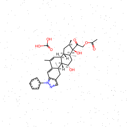 CC(=O)OCC(=O)[C@@]1(O)[C@H](C)C[C@H]2[C@@H]3C=C(C)C4=Cc5c(cnn5-c5ccccc5)C[C@]4(C)[C@H]3[C@@H](O)C[C@@]21C.O=C(O)O